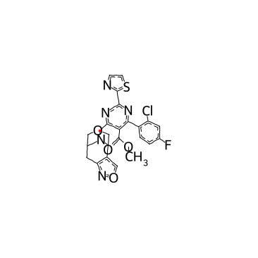 COC(=O)c1c(CN2C3COCC2c2conc2C3)nc(-c2nccs2)nc1-c1ccc(F)cc1Cl